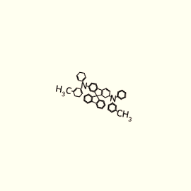 CC1=CC(N(C2=CCCC=C2)c2ccc3c(c2)C2(C4=C3C=CC(N(c3ccccc3)c3cccc(C)c3)C4)c3ccccc3-c3ccccc32)=CCC1